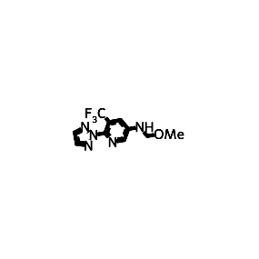 COCNc1cnc(-n2nccn2)c(C(F)(F)F)c1